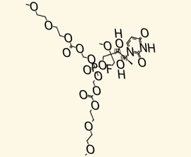 COCCOCCOC(=O)OCOP(=O)(OCOC(=O)OCCOCCOC)OCC(CF)(OC)[C@@H](O)[C@@](C)(O)n1ccc(=O)[nH]c1=O